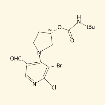 CC(C)(C)NC(=O)O[C@H]1CCN(c2c(C=O)cnc(Cl)c2Br)C1